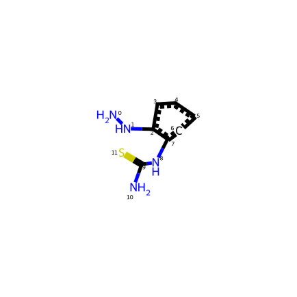 NNc1ccccc1NC(N)=S